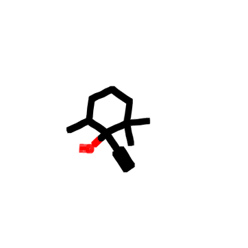 C#CC1(O)C(C)CCCC1(C)C